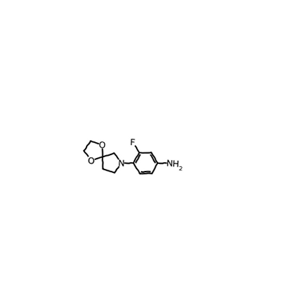 Nc1ccc(N2CCC3(C2)OCCO3)c(F)c1